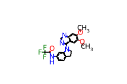 COc1cc2ncnc(N3CCc4ccc(NC(=O)C(F)(F)F)cc43)c2cc1OC